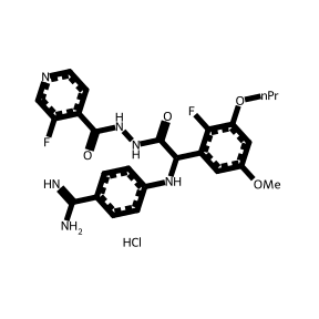 CCCOc1cc(OC)cc(C(Nc2ccc(C(=N)N)cc2)C(=O)NNC(=O)c2ccncc2F)c1F.Cl